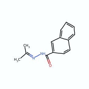 CC(C)=NNC(=O)c1ccc2ccccc2c1